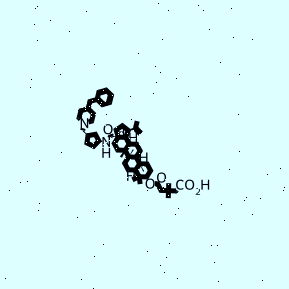 C=C(C)[C@@H]1CC[C@]2(C(=O)N[C@@H]3CC[C@H](CN4CCC(Cc5ccccc5)CC4)C3)CC[C@]3(C)[C@H](CC[C@@H]4[C@@]5(C)CC[C@H](OC(=O)CC(C)(C)CC(=O)O)C(C)(C)[C@@H]5CC[C@]43C)[C@@H]12